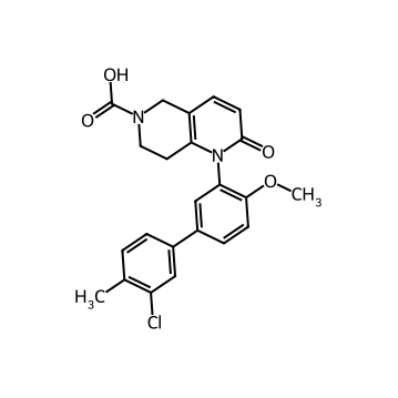 COc1ccc(-c2ccc(C)c(Cl)c2)cc1-n1c2c(ccc1=O)CN(C(=O)O)CC2